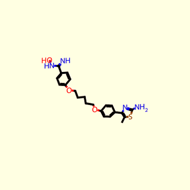 Cc1sc(N)nc1-c1ccc(OCCCCCOc2ccc(C(=N)NO)cc2)cc1